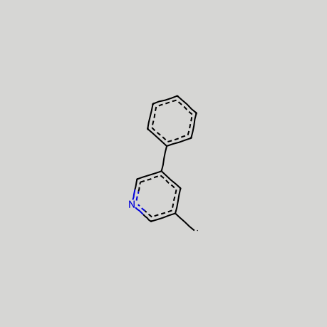 [CH2]c1cncc(-c2ccccc2)c1